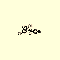 O=C(OC[C@@]1(CO)CCOc2cc(Cl)ccc21)c1ccc(Br)cc1